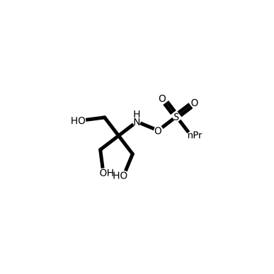 CCCS(=O)(=O)ONC(CO)(CO)CO